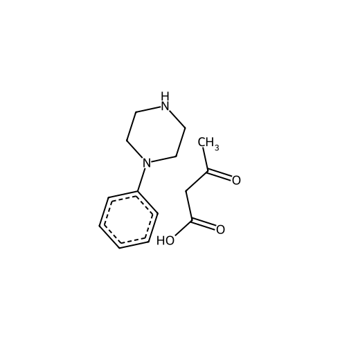 CC(=O)CC(=O)O.c1ccc(N2CCNCC2)cc1